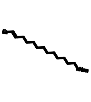 [CH2]CC=CCCCCCCCCCCCCCCCCCCC[CH2]